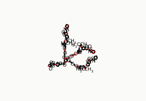 CC(C)N(Cc1cn(COCCOCCOc2cc(C(=O)NCc3ccc(C(=O)ON4C(=O)CCC4=O)cc3)cc(OCCOCCOCn3cc(CN(c4ccc5cc(-c6nc7ccccc7s6)c(=O)oc5c4)C(C)C)nn3)c2OCCOCCOCn2cc(CN(c3ccc4cc(-c5nc6ccccc6s5)c(=O)oc4c3)C(C)C)nn2)nn1)c1ccc2cc(-c3nc4ccccc4s3)c(=O)oc2c1